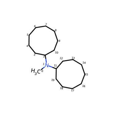 CN(C1CCCCCCCC1)C1CCCCCCCC1